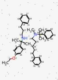 CCOc1ccc(C(C)(C)NCCCc2ccccc2)cc1.CN(CCCCCc1ccccc1)C(C)(C)c1ccccc1